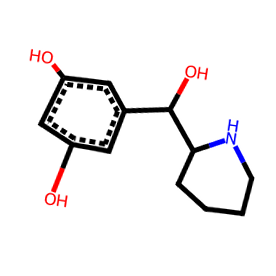 Oc1cc(O)cc(C(O)C2CCCCN2)c1